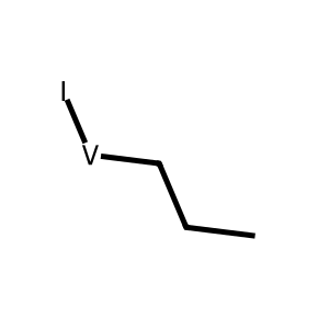 CC[CH2][V][I]